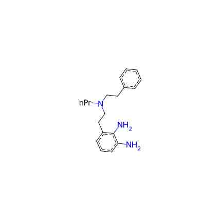 CCCN(CCc1ccccc1)CCc1cccc(N)c1N